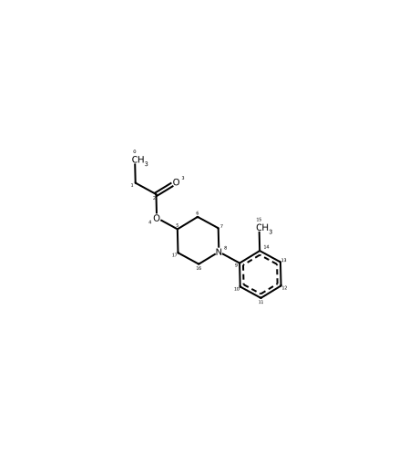 CCC(=O)OC1CCN(c2ccccc2C)CC1